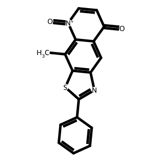 Cc1c2c(cc3nc(-c4ccccc4)sc13)C(=O)C=C[N+]2=O